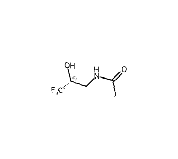 O=C(I)NC[C@@H](O)C(F)(F)F